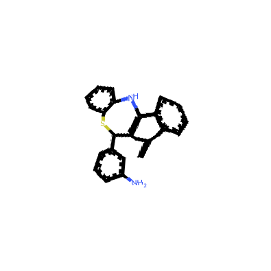 C=C1C2=C(Nc3ccccc3SC2c2cccc(N)c2)c2ccccc21